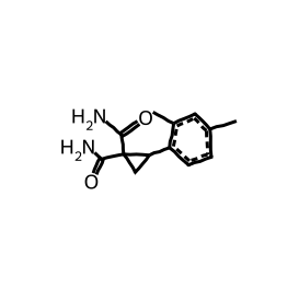 Cc1ccc(C2CC2(C(N)=O)C(N)=O)c(C)c1